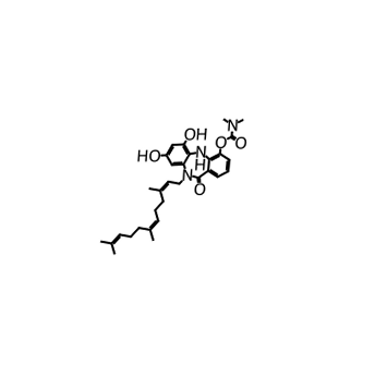 CC(C)=CCCC(C)=CCCC(C)=CCN1C(=O)c2cccc(OC(=O)N(C)C)c2Nc2c(O)cc(O)cc21